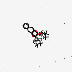 CC1(C)OB(c2cc3c(cc2C#N)C2c4ccccc4C3c3cc(C#N)c(B4OC(C)(C)C(C)(C)O4)cc32)OC1(C)C